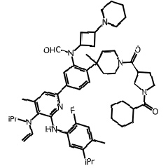 C=CN(c1c(C)cc(-c2ccc(C3(C)CCN(C(=O)C4CCN(C(=O)C5CCCCC5)C4)CC3)c(N(C=O)C3CC(N4CCCCC4)C3)c2)nc1Nc1cc(C(C)C)c(C)cc1F)C(C)C